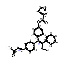 CC/C(=C(\c1ccc(/C=C/C(=O)O)cc1)c1ccc(OC(=O)c2ccno2)cc1)c1ccccc1